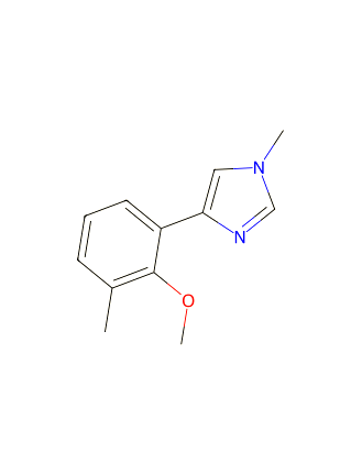 COc1c(C)cccc1-c1cn(C)cn1